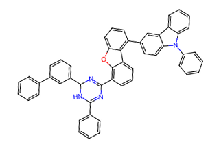 c1ccc(C2=NC(c3cccc4c3oc3cccc(-c5ccc6c(c5)c5ccccc5n6-c5ccccc5)c34)=NC(c3cccc(-c4ccccc4)c3)N2)cc1